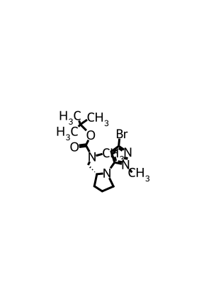 CN(C[C@H]1CCCN1c1cc(Br)nn1C)C(=O)OC(C)(C)C